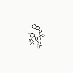 Cc1cccc(-c2sc(C)nc2C(=O)N2C[C@H]3CC3[C@H]2CNC(=O)COc2ccc3ccccc3c2)c1